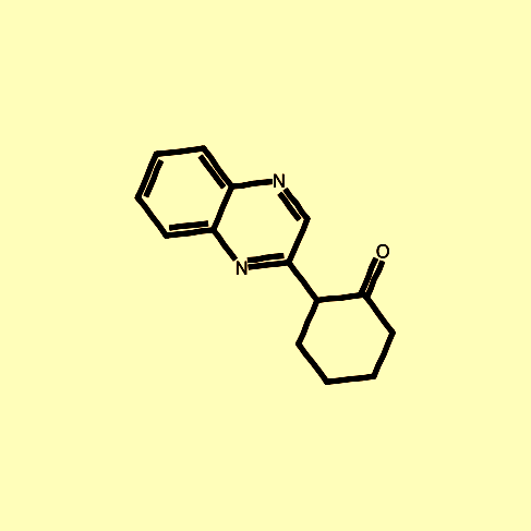 O=C1CCCCC1c1cnc2ccccc2n1